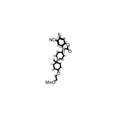 COCCOC1CCC(C)(N2CCC(n3c(=O)oc4cc(F)c(C#N)cc43)CC2)CC1